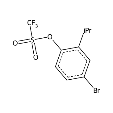 CC(C)c1cc(Br)ccc1OS(=O)(=O)C(F)(F)F